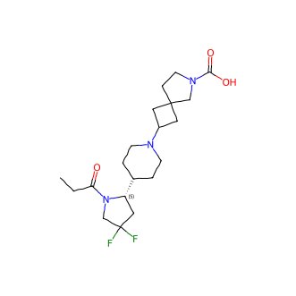 CCC(=O)N1CC(F)(F)C[C@H]1C1CCN(C2CC3(CCN(C(=O)O)C3)C2)CC1